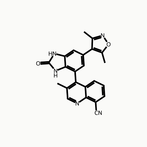 Cc1cnc2c(C#N)cccc2c1-c1cc(-c2c(C)noc2C)cc2[nH]c(=O)[nH]c12